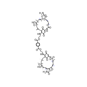 CO[C@H]1/C=C\C=C(/C)C(=O)NC2=CC(=O)C(NCCOC(=O)c3ccc(C(=O)OCCNC4=C5C[C@@H](C)C[C@H](OC)[C@H](O)[C@@H](C)/C=C(\C)[C@H](OC(N)=O)[C@@H](OC)/C=C\C=C(/C)C(=O)NC(=CC4=O)C5=O)cc3)=C(C[C@@H](C)C[C@H](OC)[C@H](O)[C@@H](C)/C=C(\C)[C@@H]1OC(N)=O)C2=O